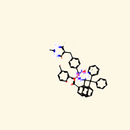 CCCc1nc(C)c(Cc2ccc(C(=O)OC)cc2)c(OCc2ccc3oc(-c4ccccc4C4(C(c5ccccc5)(c5ccccc5)c5ccccc5)N=NN=N4)c(Br)c3c2)n1